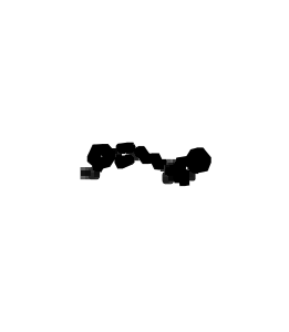 CC1(C)Sc2ccccc2C=C1C(=O)NCCCCN1CCN(c2cccc(O)c2)CC1